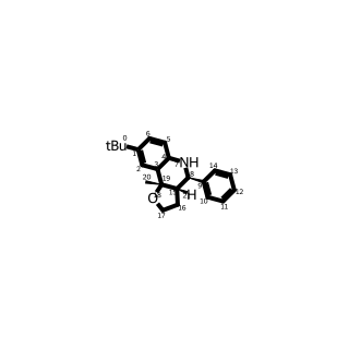 CC(C)(C)C1=CC2C(C=C1)N[C@@H](c1ccccc1)[C@@H]1CCO[C@]21C